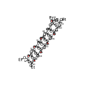 CCO[Si]1(C)O[Si](C)(OCC)O[Si]2(C)O[Si](C)(O1)O[Si]1(C)O[Si](C)(O2)O[Si]2(C)O[Si](C)(O1)O[Si]1(C)O[Si](C)(O2)O[Si]2(C)O[Si](C)(O1)O[Si]1(C)O[Si](C)(O2)O[Si]2(C)O[Si](C)(O1)O[Si]1(C)O[Si](C)(OCC)O[Si](C)(OCC)[Si](C)(O2)O1